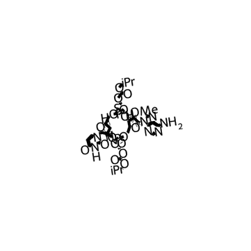 CO[C@@H]1[C@@H]2OP(=O)(SCOC(=O)OC(C)C)OC[C@@H]3C[C@@H](OP(=O)(OCOC(=O)OC(C)C)OCC2O[C@H]1n1cnc2c(N)ncnc21)[C@H](n1ccc(=O)[nH]c1=O)O3